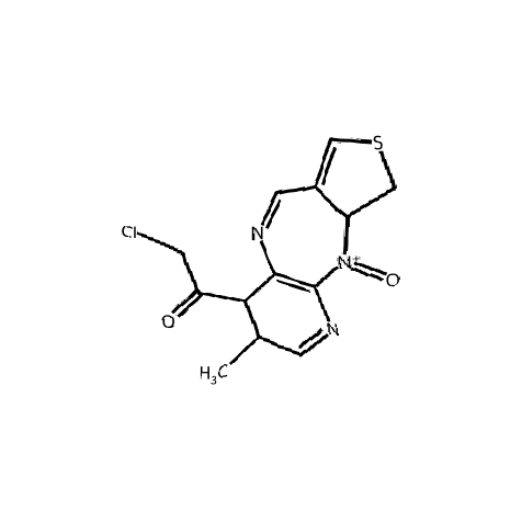 CC1C=NC2=C(N=CC3=CSCC3[N+]2=O)C1C(=O)CCl